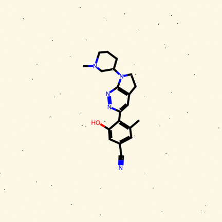 Cc1cc(C#N)cc(O)c1-c1cc2c(nn1)N(C1CCCN(C)C1)CC2